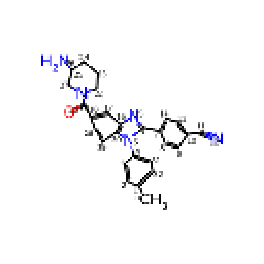 Cc1ccc(-n2c(-c3ccc(C#N)cc3)nc3cc(C(=O)N4CCCC(N)C4)ccc32)cc1